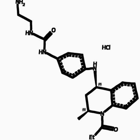 CCC(=O)N1c2ccccc2[C@H](Nc2ccc(NC(=O)NCCN)cc2)C[C@@H]1C.Cl